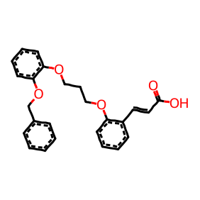 O=C(O)C=Cc1ccccc1OCCCOc1ccccc1OCc1ccccc1